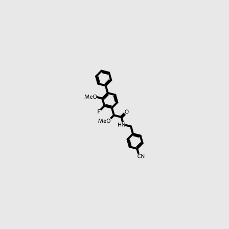 COc1c(-c2ccccc2)ccc(C(OC)C(=O)NCc2ccc(C#N)cc2)c1F